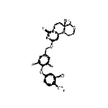 N[C@]12CCn3c(cc(OCc4cc(F)c(Oc5ccc(C(F)(F)F)c(Cl)c5)c(F)c4)nc3=O)N1CCOC2